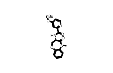 CCCCOc1ccnc(C(=O)N[C@H]2COc3ccccc3N(C)C2=O)c1